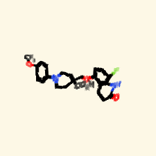 O=C1CCc2c(OCC3(C(=O)O)CCN(c4ccc(OC(F)(F)F)cc4)CC3)ccc(F)c2N1